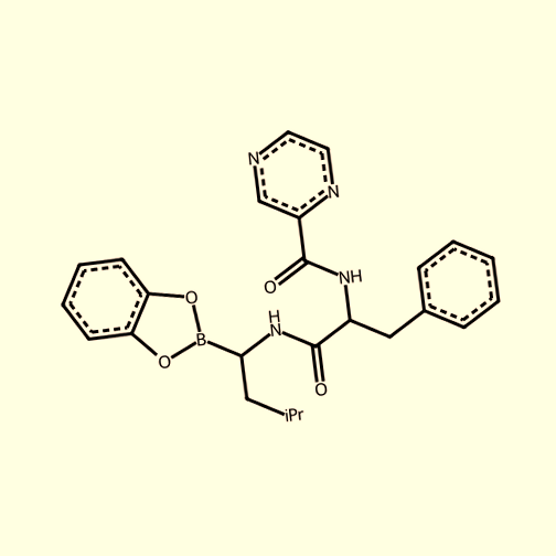 CC(C)CC(NC(=O)C(Cc1ccccc1)NC(=O)c1cnccn1)B1Oc2ccccc2O1